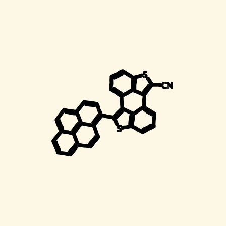 N#Cc1sc2cccc3c4c(-c5ccc6ccc7cccc8ccc5c6c78)sc5cccc(c1c23)c54